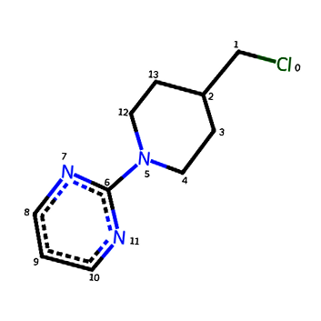 ClCC1CCN(c2ncccn2)CC1